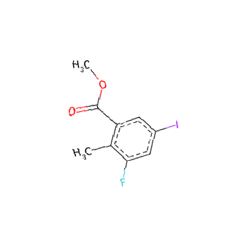 COC(=O)c1cc(I)cc(F)c1C